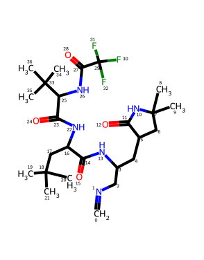 C=NCC(CC1CC(C)(C)NC1=O)NC(=O)C(CC(C)(C)C)NC(=O)C(NC(=O)C(F)(F)F)C(C)(C)C